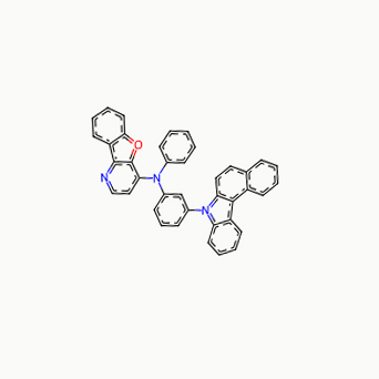 c1ccc(N(c2cccc(-n3c4ccccc4c4c5ccccc5ccc43)c2)c2ccnc3c2oc2ccccc23)cc1